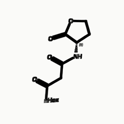 CCCCCCC(=O)CC(=O)N[C@H]1CCOC1=O